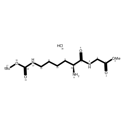 COC(=O)CNC(=O)[C@@H](N)CCCCNC(=O)OC(C)(C)C.Cl